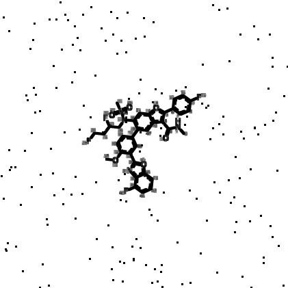 CNC(=O)c1c(-c2ccc(F)cc2)oc2cc(N(CC(F)CCF)S(C)(=O)=O)c(-c3ccc(OC)c(-c4nc5c(F)cccc5o4)c3)cc12